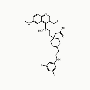 COc1ccc2ncc(CF)c([C@@H](O)CCC3(CC(=O)O)CCN(CCNc4cc(F)cc(F)c4)CC3)c2c1